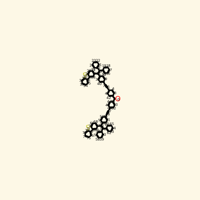 O=C(c1ccc(C#Cc2ccc(C(=C(c3ccccc3)c3ccccc3)c3ccc4sc5ccccc5c4c3)cc2)cc1)c1ccc(C#Cc2ccc(C(=C(c3ccccc3)c3ccccc3)c3ccc4sc5ccccc5c4c3)cc2)cc1